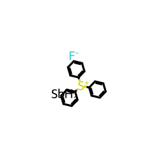 [F-].[SbH3].c1ccc([S+](c2ccccc2)c2ccccc2)cc1